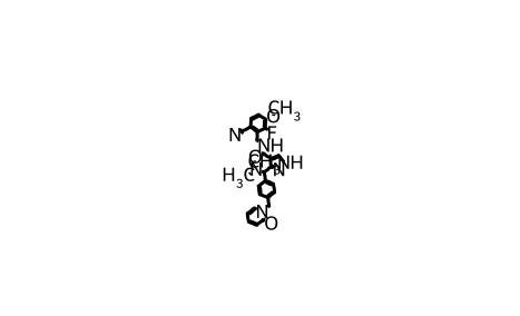 COc1ccc(C#N)c(CNC(=O)c2c[nH]nc2C(c2ccc(Cn3ccccc3=O)cc2)N(C)C)c1F